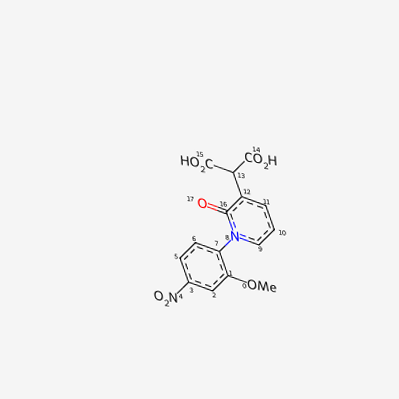 COc1cc([N+](=O)[O-])ccc1-n1cccc(C(C(=O)O)C(=O)O)c1=O